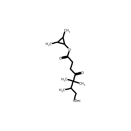 CCCCCCCCCCCC(C)C(C)(C)C(=O)CCC(=O)OC1C(C)C1C